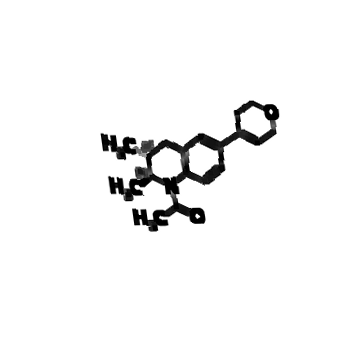 CC(=O)N1c2ccc(C3=CCOCC3)cc2C[C@@H](C)[C@@H]1C